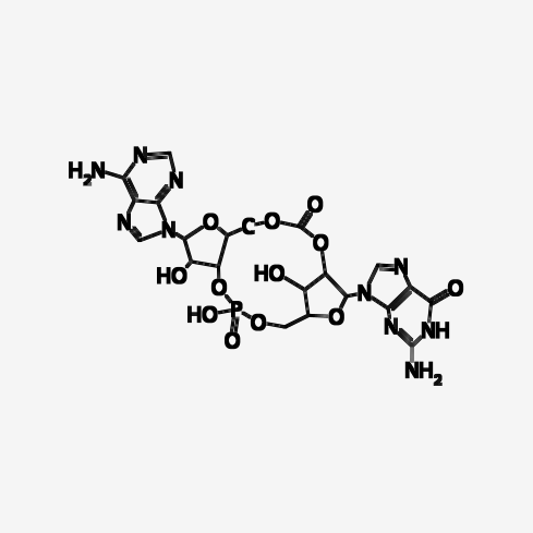 Nc1nc2c(ncn2C2OC3COP(=O)(O)OC4C(COC(=O)OC2C3O)OC(n2cnc3c(N)ncnc32)C4O)c(=O)[nH]1